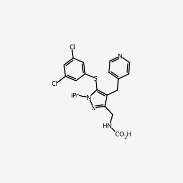 CC(C)n1nc(CNC(=O)O)c(Cc2ccncc2)c1Sc1cc(Cl)cc(Cl)c1